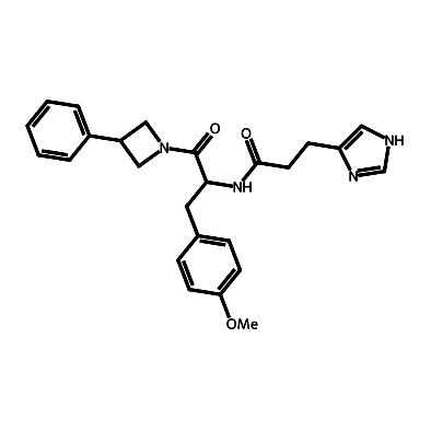 COc1ccc(CC(NC(=O)CCc2c[nH]cn2)C(=O)N2CC(c3ccccc3)C2)cc1